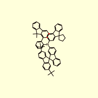 CC(C)(C)c1ccc2c(c1)C1(c3ccccc3-c3ccc(N(c4ccc5c(c4)C4(CCCC4)c4ccccc4-5)c4ccccc4-c4cccc5c4C(C)(C)c4ccccc4-5)cc31)c1cc(C(C)(C)C)ccc1-2